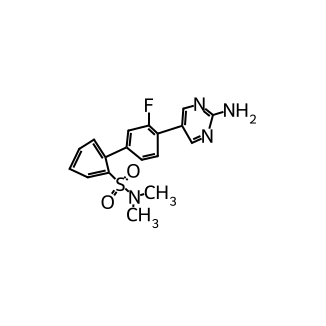 CN(C)S(=O)(=O)c1ccccc1-c1ccc(-c2cnc(N)nc2)c(F)c1